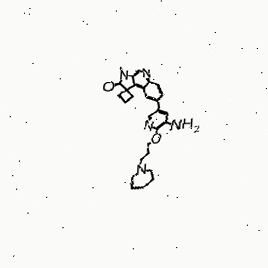 CN1C(=O)C2(CCC2)c2c1cnc1ccc(-c3cnc(OCCCN4CCCCC4)c(N)c3)cc21